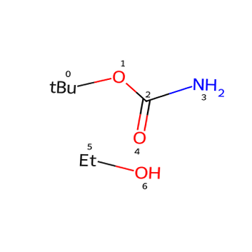 CC(C)(C)OC(N)=O.CCO